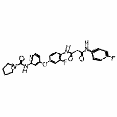 O=C(CC(=O)Nc1ccc(Oc2ccnc(NC(=O)N3CCCC3)c2)cc1F)Nc1ccc(F)cc1